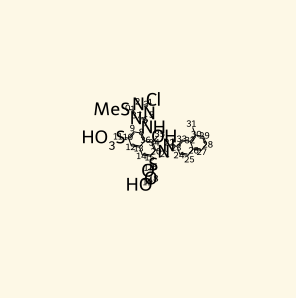 CSc1nc(Cl)nc(Nc2cc(S(=O)(=O)O)cc3cc(SOOO)c(N=Nc4ccc5cccc(C)c5c4)c(O)c23)n1